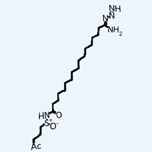 CC(=O)CCC[S+]([O-])NC(=O)CCCCCCCCCCCCCCC/C(N)=N/N=N